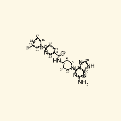 Nc1nc(N2CCC(NC(=O)c3ccc(-c4cccc(F)c4)nc3)CC2)c2nc[nH]c2n1